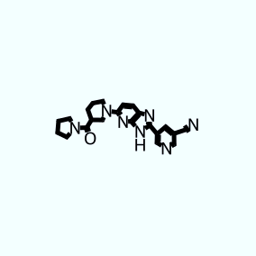 N#Cc1cncc(-c2nc3ccc(N4CCCC(C(=O)N5CCCC5)C4)nc3[nH]2)c1